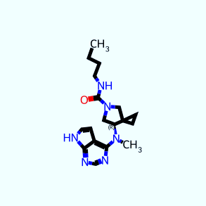 CCCCNC(=O)N1C[C@H](N(C)c2ncnc3[nH]ccc23)C2(CC2)C1